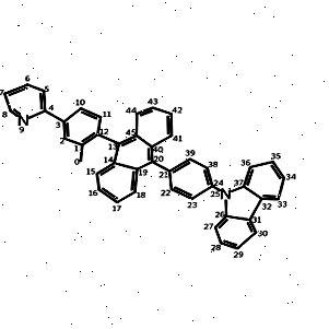 Cc1cc(-c2ccccn2)ccc1-c1c2ccccc2c(-c2ccc(-n3c4ccccc4c4ccccc43)cc2)c2ccccc12